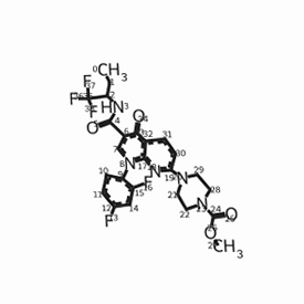 CCC(NC(=O)c1cn(-c2ccc(F)cc2F)c2nc(N3CCN(C(=O)OC)CC3)ccc2c1=O)C(F)(F)F